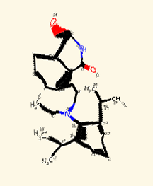 CCN(Cc1cccc2c1C(=O)NC2=O)c1c(C(C)C)cccc1C(C)C